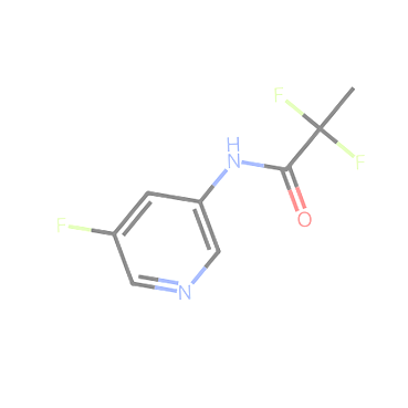 CC(F)(F)C(=O)Nc1cncc(F)c1